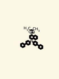 CC1OB(c2ccc(N(c3ccc(-c4ccccc4)cc3)c3ccc(-c4ccccc4)cc3)c3ccccc23)OC1C